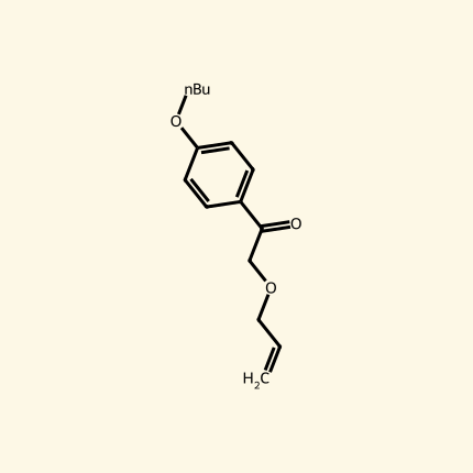 C=CCOCC(=O)c1ccc(OCCCC)cc1